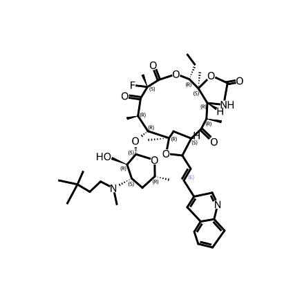 CC[C@H]1OC(=O)[C@@](C)(F)C(=O)[C@H](C)[C@@H](O[C@@H]2O[C@H](C)C[C@H](N(C)CCC(C)(C)C)[C@H]2O)[C@@]2(C)C[C@H](C(=O)[C@H](C)[C@H]3NC(=O)O[C@@]31C)C(/C=C/c1cnc3ccccc3c1)O2